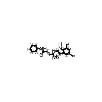 Cc1cc(C)c2[nH]c3nc(SCC(=O)Nc4ccccc4)nnc3c2c1